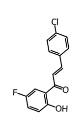 O=C(C=Cc1ccc(Cl)cc1)c1cc(F)ccc1O